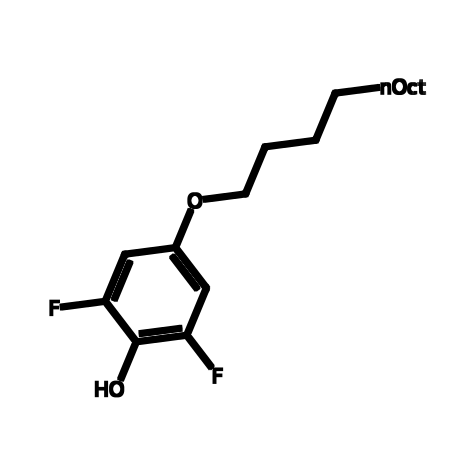 CCCCCCCCCCCCOc1cc(F)c(O)c(F)c1